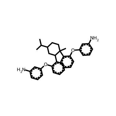 CC(C)C1CCC(C)(c2ccccc2Oc2cccc(N)c2)C(c2ccccc2Oc2cccc(N)c2)C1